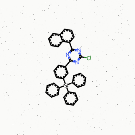 Clc1nc(-c2cccc([Si](c3ccccc3)(c3ccccc3)c3ccccc3)c2)nc(-c2cccc3ccccc23)n1